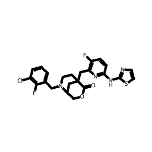 O=C1OCC2CC1(Cc1nc(Nc3nccs3)ccc1F)CCN2Cc1cccc(Cl)c1F